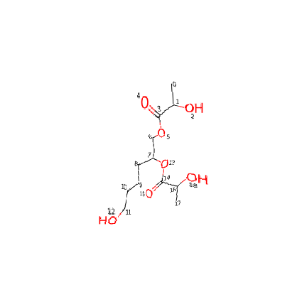 CC(O)C(=O)OCC(CCCCO)OC(=O)C(C)O